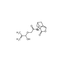 C=C(C)C(O)OCC(=O)OC1C2CC3C1OC(=O)C3(C#N)C2